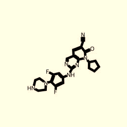 N#Cc1cc2cnc(Nc3cc(F)c(N4CCNCC4)c(F)c3)nc2n(C2CCCC2)c1=O